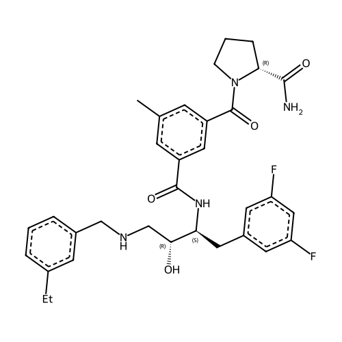 CCc1cccc(CNC[C@@H](O)[C@H](Cc2cc(F)cc(F)c2)NC(=O)c2cc(C)cc(C(=O)N3CCC[C@@H]3C(N)=O)c2)c1